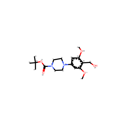 COc1cc(N2CCN(C(=O)OC(C)(C)C)CC2)cc(OC)c1CO